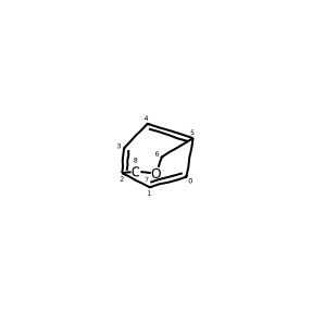 c1cc2ccc1COC2